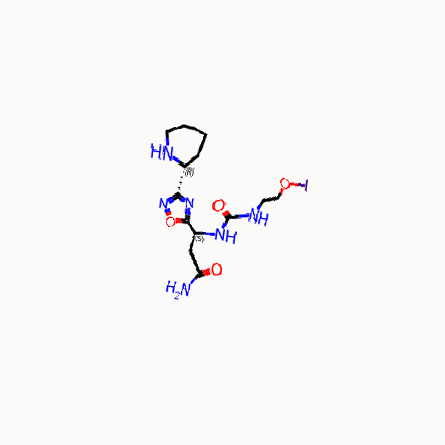 NC(=O)C[C@H](NC(=O)NCCOI)c1nc([C@H]2CCCCN2)no1